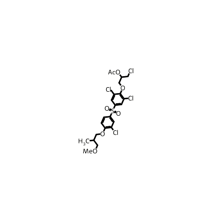 COCC(C)COc1ccc(S(=O)(=O)c2cc(Cl)c(OCC(CCl)OC(C)=O)c(Cl)c2)cc1Cl